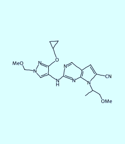 COCC(C)n1c(C#N)cc2cnc(Nc3cn(COC)nc3OC3CC3)nc21